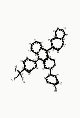 Cc1ccc(-c2ccc3c(-c4ccc5ccccc5c4)c4ccccc4c(-c4ccc(C(F)(F)F)cc4)c3c2)cc1